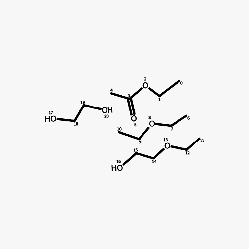 CCOC(C)=O.CCOCC.CCOCCO.OCCO